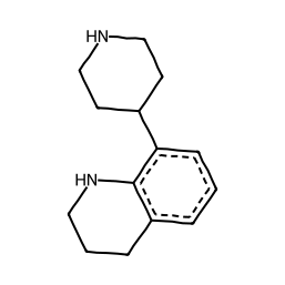 c1cc2c(c(C3CCNCC3)c1)NCCC2